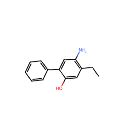 CCc1cc(O)c(-c2ccccc2)cc1N